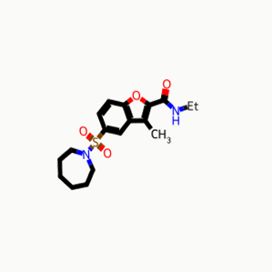 CCNC(=O)c1oc2ccc(S(=O)(=O)N3CCCCCC3)cc2c1C